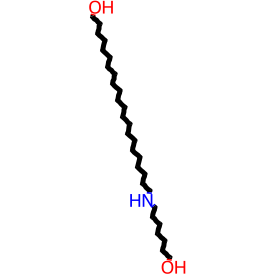 OCCCCCCCCCCCCCCCCCCCCCCNCCCCCCCO